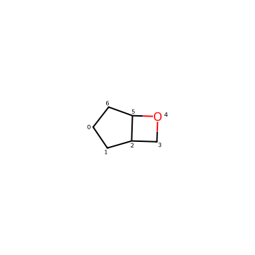 C1CC2COC2C1